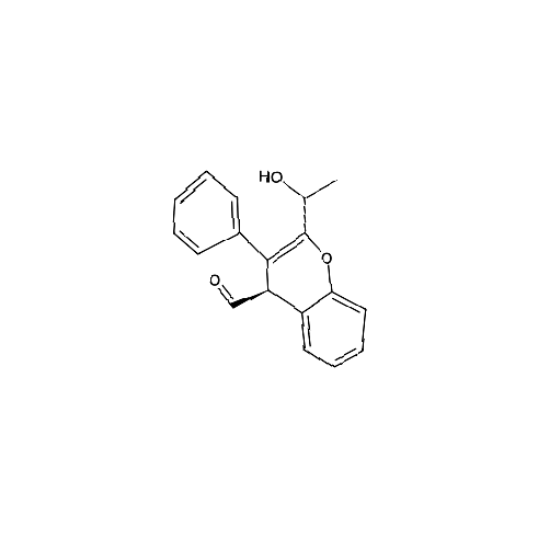 CC(O)C1=C(c2ccccc2)[C@H](C=O)c2ccccc2O1